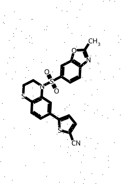 Cc1nc2ccc(S(=O)(=O)N3CCSc4ccc(-c5ccc(C#N)s5)cc43)cc2o1